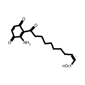 CCCCCCCC/C=C\CCCCCCCC(=O)C1=C(N)C(=O)C=CC1=O